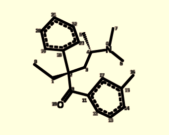 CC[C@@](C[C@H](C)N(C)C)(C(=O)c1cccc(C)c1)c1ccccc1